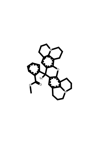 [2H]C1(c2ccccc2C(=O)OC)c2cc3c4c(c2Oc2c1cc1c5c2CCCN5CCC1)CCCN4CCC3